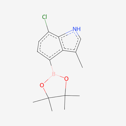 Cc1c[nH]c2c(Cl)ccc(B3OC(C)(C)C(C)(C)O3)c12